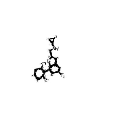 Fc1cc2c(c(-c3c(Cl)cccc3Cl)c1)OC(CNC1CC1)C2